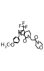 COc1ccc(-n2nc(C(F)(F)F)c3c2C(=O)N(CC(=O)N2CCOCC2)CC3)cc1